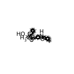 CN(C(=O)OCc1ccc(NC(=O)Cc2ccc(F)cc2)cc1)[C@@H](Cc1ccccc1)C(=O)O